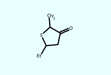 CCC1CC(=O)C(C)S1